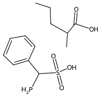 CCCC(C)C(=O)O.O=S(=O)(O)C(P)c1ccccc1